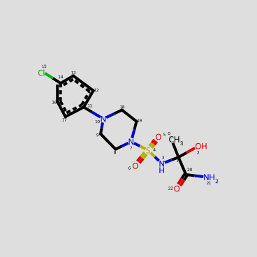 CC(O)(NS(=O)(=O)N1CCN(c2ccc(Cl)cc2)CC1)C(N)=O